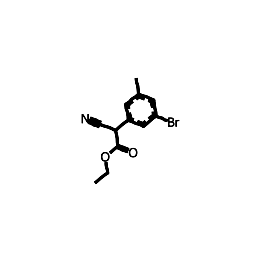 CCOC(=O)C(C#N)c1cc(C)cc(Br)c1